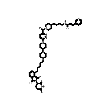 O=C(/C=C/c1cccnc1)NCCCCC1CCN(C(=O)c2ccc(N3CCC(N4CCN(CCCCCc5cccc6c5C(=O)N(C5CCC(=O)NC5=O)C6=O)CC4)CC3)nn2)CC1